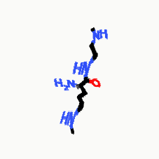 CNCCC[C@H](N)C(=O)NCCNC